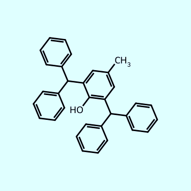 Cc1cc(C(c2ccccc2)c2ccccc2)c(O)c(C(c2ccccc2)c2ccccc2)c1